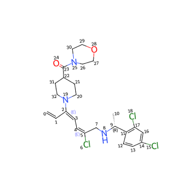 C=C/C(=C\C=C(\Cl)CN[C@H](C)c1ccc(Cl)cc1Cl)N1CCC(C(=O)N2CCOCC2)CC1